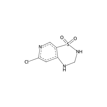 O=S1(=O)NCNc2cc(Cl)ncc21